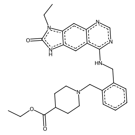 CCOC(=O)C1CCN(Cc2ccccc2CNc2ncnc3cc4c(cc23)[nH]c(=O)n4CC)CC1